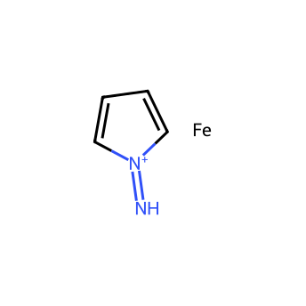 N=[N+]1C=CC=C1.[Fe]